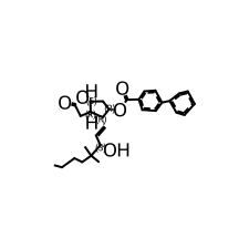 CCCCC(C)(C)[C@@H](O)C=C[C@@H]1[C@H]2CC(=O)O[C@H]2C[C@H]1OC(=O)c1ccc(-c2ccccc2)cc1